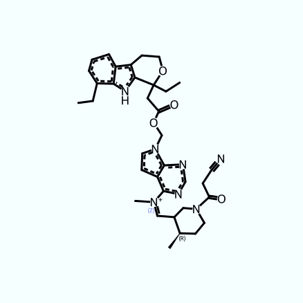 CCc1cccc2c3c([nH]c12)C(CC)(CC(=O)OCn1ccc2c(/[N+](C)=C\C4CN(C(=O)CC#N)CC[C@H]4C)ncnc21)OCC3